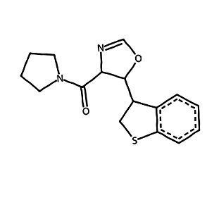 O=C(C1N=COC1C1CSc2ccccc21)N1CCCC1